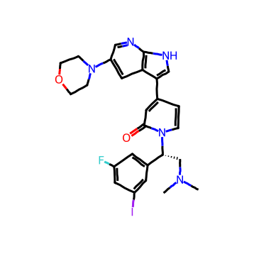 CN(C)C[C@H](c1cc(F)cc(I)c1)n1ccc(-c2c[nH]c3ncc(N4CCOCC4)cc23)cc1=O